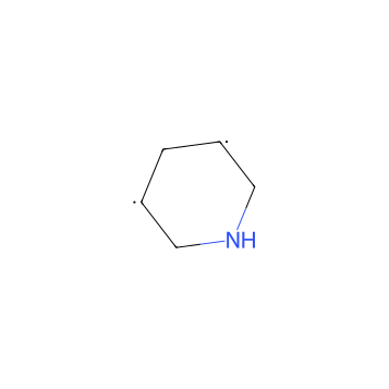 [CH]1C[CH]CNC1